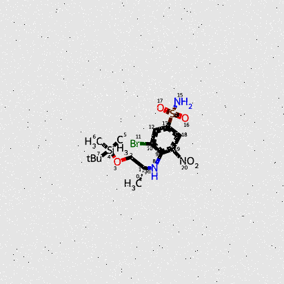 C[C@H](CO[Si](C)(C)C(C)(C)C)Nc1c(Br)cc(S(N)(=O)=O)cc1[N+](=O)[O-]